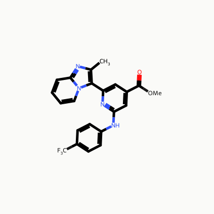 COC(=O)c1cc(Nc2ccc(C(F)(F)F)cc2)nc(-c2c(C)nc3ccccn23)c1